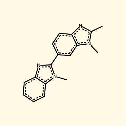 Cc1nc2ccc(-c3nc4ccccc4n3C)cc2n1C